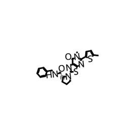 Cc1ccc(-c2nc3sc(N4CCC[C@@H]4C(=O)NCc4ccccc4)nc3c(=O)n2C)s1